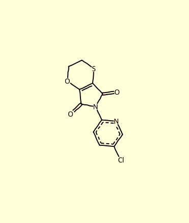 O=C1C2=C(SCCO2)C(=O)N1c1ccc(Cl)cn1